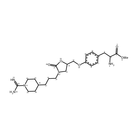 COC(=O)C(N)Cc1ccc(OCC2CN(CCCC3CCN(C(=N)N)CC3)C(=O)O2)cc1